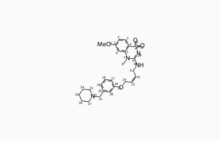 COc1ccc2c(c1)N(C)C(NC/C=C\COc1cccc(CN3CCCCC3)c1)=NS2(=O)=O